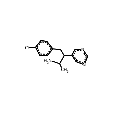 CC(N)C(Cc1ccc(Cl)cc1)c1cncnc1